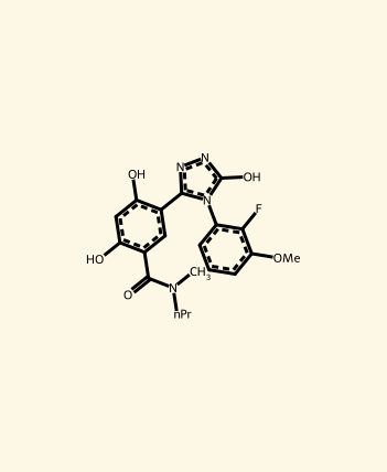 CCCN(C)C(=O)c1cc(-c2nnc(O)n2-c2cccc(OC)c2F)c(O)cc1O